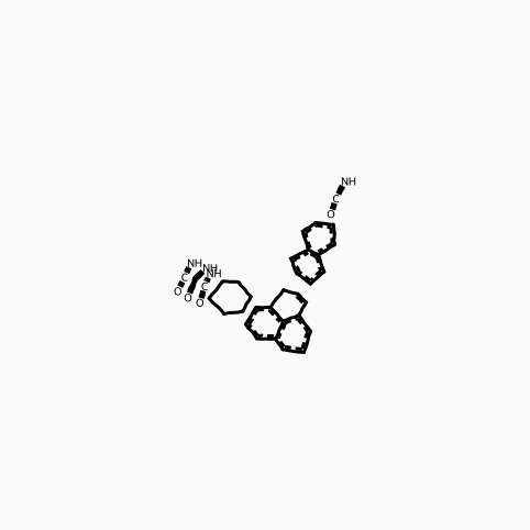 C1=Cc2cccc3cccc(c23)C1.C1CCCCC1.N=C=O.N=C=O.N=C=O.N=C=O.c1ccc2ccccc2c1